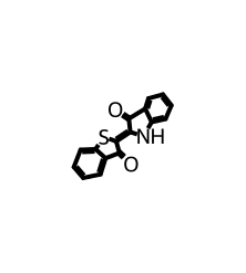 O=C1C(=C2Sc3ccccc3C2=O)Nc2ccccc21